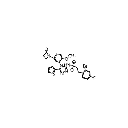 COc1ccc(N2CCC2=O)cc1-n1c(NS(=O)(=O)CCc2ccc(F)cc2Br)nnc1-c1cccs1